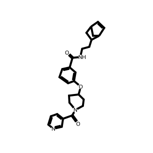 O=C(NCCC1CC2C=CC1C2)c1cccc(OC2CCN(C(=O)c3cccnc3)CC2)c1